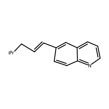 CC(C)C/C=C/c1ccc2ncccc2c1